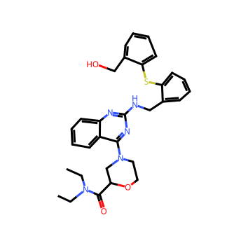 CCN(CC)C(=O)C1CN(c2nc(NCc3ccccc3Sc3ccccc3CO)nc3ccccc23)CCO1